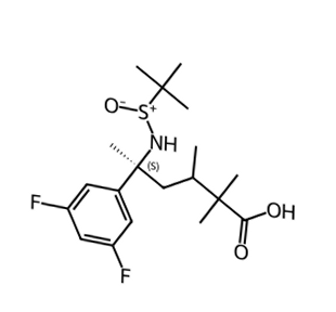 CC(C[C@](C)(N[S+]([O-])C(C)(C)C)c1cc(F)cc(F)c1)C(C)(C)C(=O)O